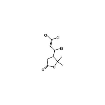 CCC(C=C(Cl)Cl)C1CC(=O)OC1(C)C